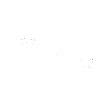 O=C(CCCCCCCC(=O)Nc1ccc(O)cc1)NCCCCCNC(=O)c1ccccc1